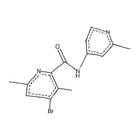 Cc1cc(NC(=O)c2nc(C)cc(Br)c2C)ccn1